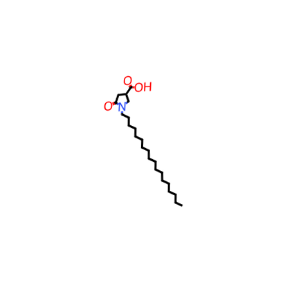 CCCCCCCCCCCCCCCCCCN1CC(C(=O)O)CC1=O